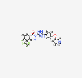 O=C(Nc1nnc(-c2ccc(Oc3cccnc3)cc2)[nH]1)c1ccc(F)c(C(F)(F)F)c1